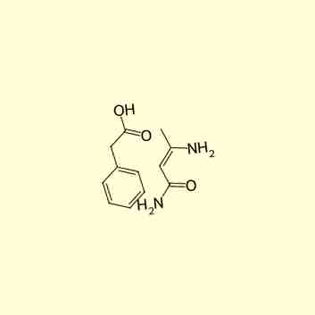 CC(N)=CC(N)=O.O=C(O)Cc1ccccc1